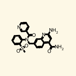 CS(=O)(=O)c1ccccc1N(Cc1ccc2c(C(N)=O)cc(N)nc2c1)C(=O)c1cccnc1